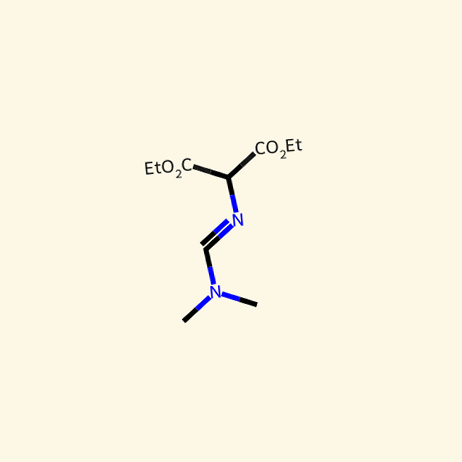 CCOC(=O)C(N=CN(C)C)C(=O)OCC